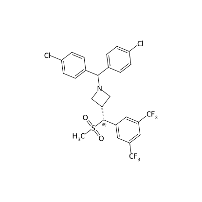 CS(=O)(=O)[C@@H](c1cc(C(F)(F)F)cc(C(F)(F)F)c1)C1CN(C(c2ccc(Cl)cc2)c2ccc(Cl)cc2)C1